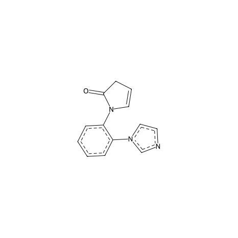 O=C1CC=CN1c1ccccc1-n1ccnc1